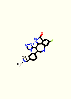 CN(C)Cc1ccc(C2C=Nc3cc(F)cc4c(=O)[nH]nc(c34)C2c2ncn[nH]2)cc1